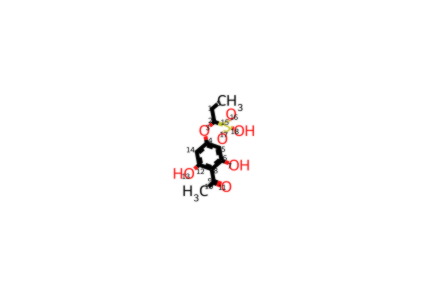 CCC(Oc1cc(O)c(C(C)=O)c(O)c1)S(=O)(=O)O